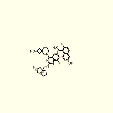 CCc1c(F)ccc2cc(O)cc(-c3c(F)cc4c(N5CCCC6(CC(O)C6)C5)nc(OC[C@@]56CCCN5C[C@H](F)C6)nc4c3F)c12